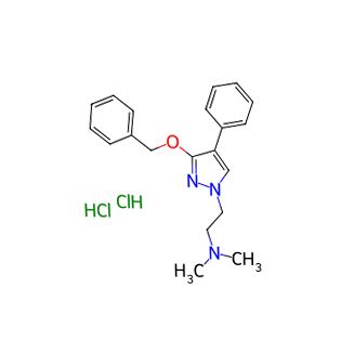 CN(C)CCn1cc(-c2ccccc2)c(OCc2ccccc2)n1.Cl.Cl